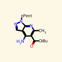 CCCCCn1ncc2c(N)c(C(=O)OCC(C)C)c(C)nc21